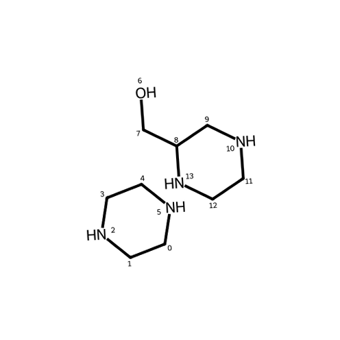 C1CNCCN1.OCC1CNCCN1